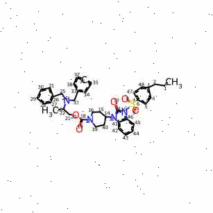 CCCc1ccc(S(=O)(=O)n2c(=O)n(C3CCN(C(=O)OCC(C)N(Cc4ccccc4)Cc4ccccc4)CC3)c3ccccc32)cc1